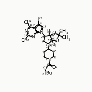 CC(C)(C)OC(=O)N1CCC([C@H]2C[C@@H](n3cc(I)c4c(Cl)nc(Cl)nc43)[C@@H]3OC(C)(C)O[C@@H]32)CC1